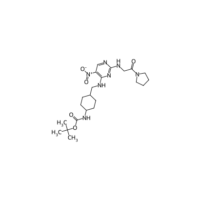 CC(C)(C)OC(=O)NC1CCC(CNc2nc(NCC(=O)N3CCCC3)ncc2[N+](=O)[O-])CC1